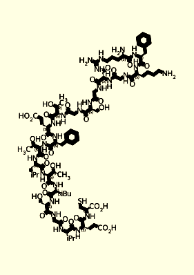 CC[C@H](C)[C@H](NC(=O)[C@@H](NC(=O)[C@H](CC(C)C)NC(=O)[C@@H](NC(=O)[C@H](Cc1ccccc1)NC(=O)[C@H](CCC(=O)O)NC(=O)[C@@H](NC(=O)CNC(=O)[C@H](CO)NC(=O)CNC(=O)[C@H](CO)NC(=O)CNC(=O)[C@H](CCCCN)NC(=O)[C@H](Cc1ccccc1)NC(=O)[C@@H](N)CCCNC(=N)N)[C@@H](C)O)[C@@H](C)O)[C@@H](C)O)C(=O)N[C@@H](CO)C(=O)NCC(=O)N[C@H](C(=O)N[C@@H](CCC(=O)O)C(=O)N[C@@H](CS)C(=O)O)C(C)C